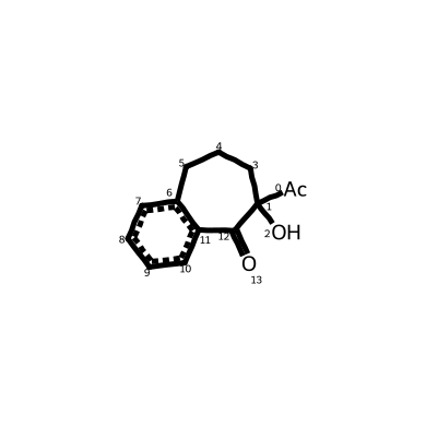 CC(=O)C1(O)CCCc2ccccc2C1=O